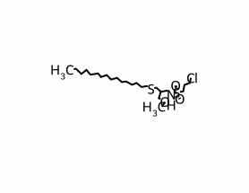 CCCCCCCCCCCCCCCCSCC(CNS(=O)(=O)CCCCl)COC